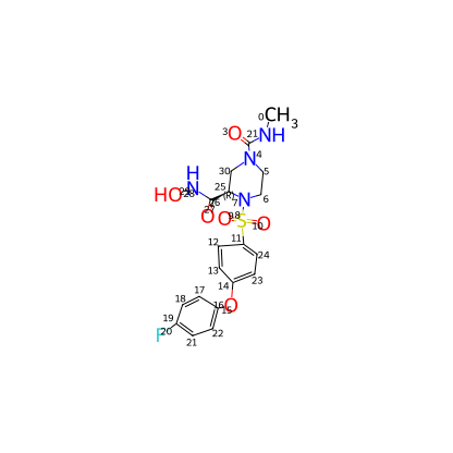 CNC(=O)N1CCN(S(=O)(=O)c2ccc(Oc3ccc(F)cc3)cc2)[C@@H](C(=O)NO)C1